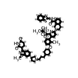 Cc1c(OC2CCC(CCCN3CC[C@H](c4ccc5c(C6CCC(=O)NC6=O)nn(C)c5c4)C3)CC2)cccc1-c1ccc(N2CCc3cccc(C(=O)Nc4nc5ccccc5s4)c3C2)nc1C(=O)OC(C)(C)C